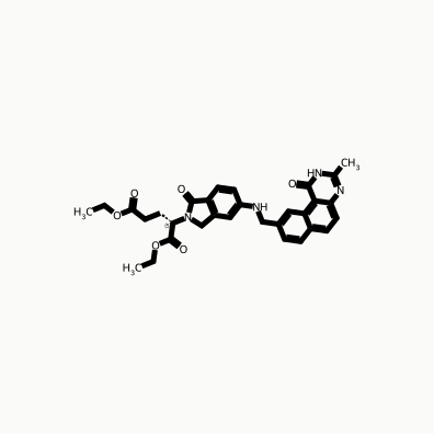 CCOC(=O)CC[C@@H](C(=O)OCC)N1Cc2cc(NCc3ccc4ccc5nc(C)[nH]c(=O)c5c4c3)ccc2C1=O